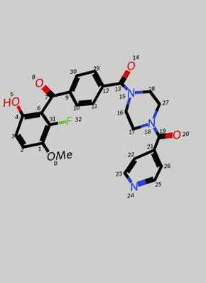 COc1ccc(O)c(C(=O)c2ccc(C(=O)N3CCN(C(=O)c4ccncc4)CC3)cc2)c1F